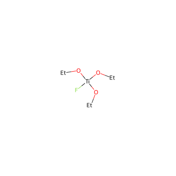 CC[O][Ti]([F])([O]CC)[O]CC